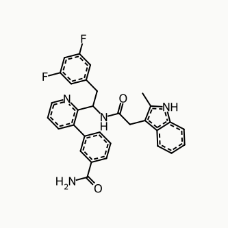 Cc1[nH]c2ccccc2c1CC(=O)NC(Cc1cc(F)cc(F)c1)c1ncccc1-c1cccc(C(N)=O)c1